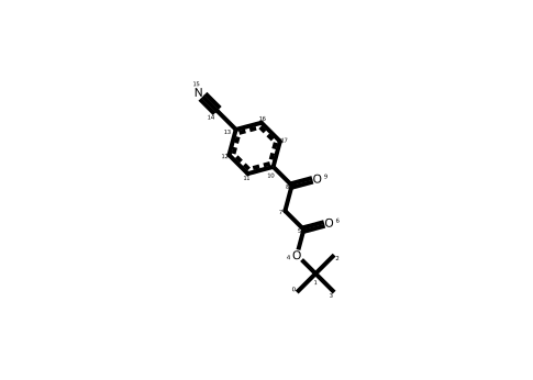 CC(C)(C)OC(=O)CC(=O)c1ccc(C#N)cc1